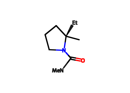 CC[C@]1(C)CCCN1C(=O)NC